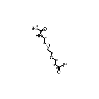 CCC(C)C(=O)NCCOCCOCCC(=O)I